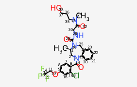 C[C@@H]1CN(C(=O)c2ccc(OCC(F)(F)F)cc2Cl)c2ccccc2CN1C(=O)NCC(=O)N(C)CCCO